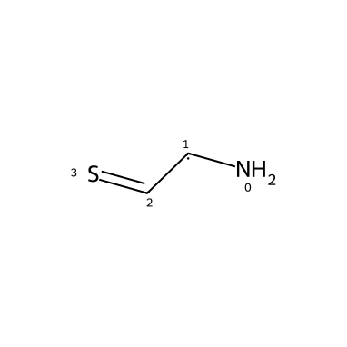 N[CH]C=S